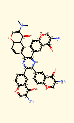 CN(C)C1=COC2C=CC(c3nc(-c4ccc5occ(N)c(=O)c5c4)c(-c4ccc5occ(N)c(=O)c5c4)nc3-c3ccc4occ(N)c(=O)c4c3)=CC2C1=O